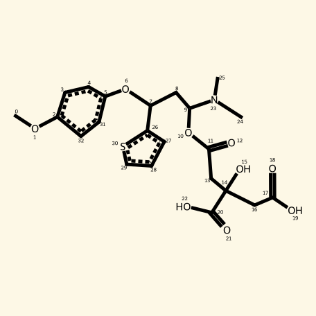 COc1ccc(OC(CC(OC(=O)CC(O)(CC(=O)O)C(=O)O)N(C)C)c2cccs2)cc1